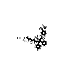 CC(C)n1c(C=C[C@@H](O)C[C@@H](O)CC(=O)O)c(-c2ccc(F)cc2)c(-c2ccccc2)c1C(=O)Nc1cccc(C(=O)N(C)C)c1